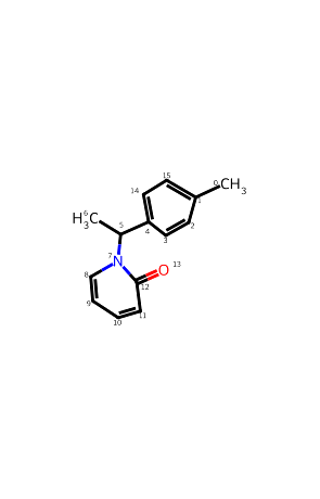 Cc1ccc(C(C)n2ccccc2=O)cc1